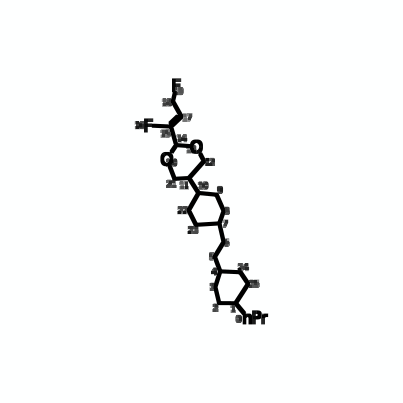 CCCC1CCC(CCC2CCC(C3COC(/C(F)=C/CF)OC3)CC2)CC1